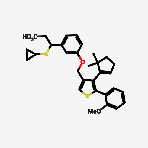 COc1ccccc1-c1scc(COc2cccc(C(CC(=O)O)SC3CC3)c2)c1C1=CCCC1(C)C